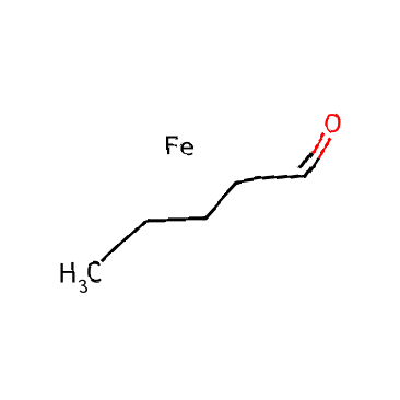 CCCCC=O.[Fe]